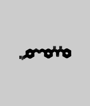 Cc1ccc(SOCc2cccc(NC(=O)Nc3ccccc3)c2)cc1